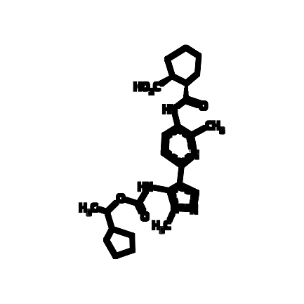 Cc1nc(-c2cnn(C)c2NC(=O)OC(C)C2CCCC2)ccc1NC(=O)[C@H]1CCCC[C@@H]1C(=O)O